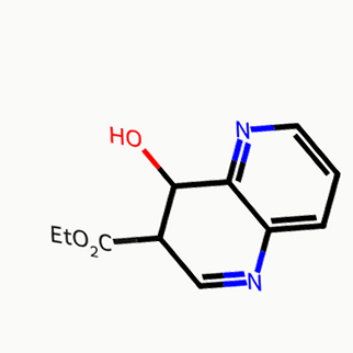 CCOC(=O)C1C=Nc2cccnc2C1O